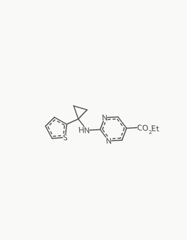 CCOC(=O)c1cnc(NC2(c3cccs3)CC2)nc1